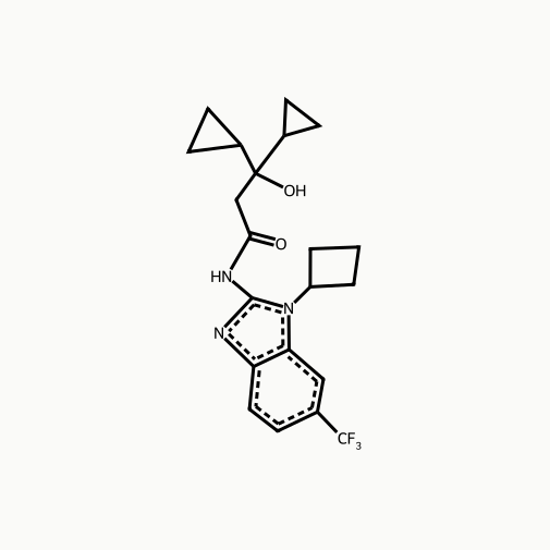 O=C(CC(O)(C1CC1)C1CC1)Nc1nc2ccc(C(F)(F)F)cc2n1C1CCC1